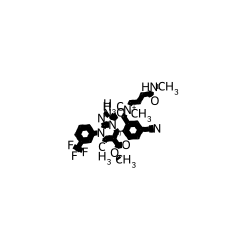 CNC(=O)CCC[N+](C)(C)Cc1cc(C#N)ccc1[C@@H]1C(C(=O)OC)=C(C)N(c2cccc(C(F)(F)F)c2)c2n[nH]c(=O)n21